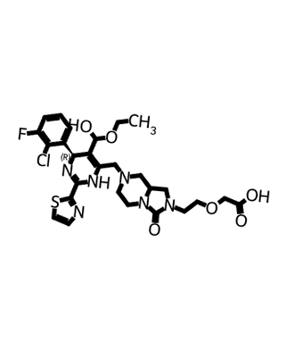 CCOC(O)C1=C(CN2CCN3C(=O)N(CCOCC(=O)O)CC3C2)NC(c2nccs2)=N[C@H]1c1cccc(F)c1Cl